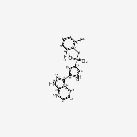 O=S(=O)(Cc1c(F)cccc1F)c1c[nH]c(-c2n[nH]c3ncccc23)c1